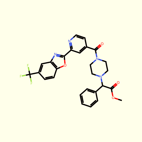 COC(=O)C(c1ccccc1)N1CCN(C(=O)c2ccnc(-c3nc4cc(C(F)(F)F)ccc4o3)c2)CC1